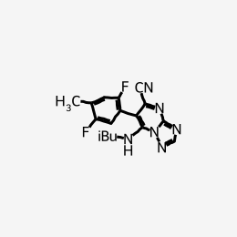 CCC(C)Nc1c(-c2cc(F)c(C)cc2F)c(C#N)nc2ncnn12